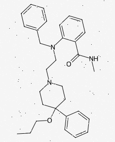 CCCOC1(c2ccccc2)CCN(CCN(Cc2ccccc2)c2ccccc2C(=O)NC)CC1